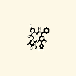 CCn1c(=O)c(C)cn(CC(=O)N2C[C@H](F)C[C@H]2C(=O)N[C@H](c2ccccc2)c2ccc(C3CC(F)(F)C3)c(F)n2)c1=O